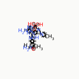 CC1CCN(CCN(C[C@H]2O[C@@H](n3cnc4c(N)ncnc43)[C@H](O)[C@@H]2O)C2CCN(Cc3nc4ccc(CC(C)(C)C(N)=O)cc4[nH]3)CC2)CC1